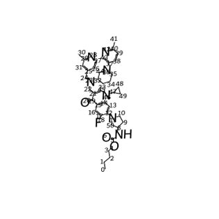 CCCCOC(=O)N[C@@H]1CCN(c2cc3c(cc2F)c(=O)c(CN(Cc2ccnc(C)c2)[C@H]2CCCN(c4ccc(C)nc4)C2)cn3C2CC2)C1